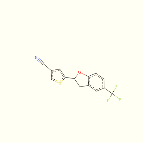 N#Cc1csc(C2Cc3cc(C(F)(F)F)ccc3O2)c1